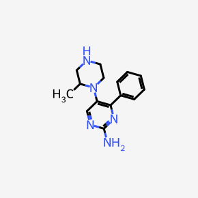 CC1CNCCN1c1cnc(N)nc1-c1ccccc1